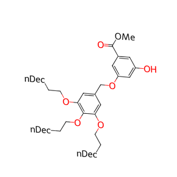 CCCCCCCCCCCCOc1cc(COc2cc(O)cc(C(=O)OC)c2)cc(OCCCCCCCCCCCC)c1OCCCCCCCCCCCC